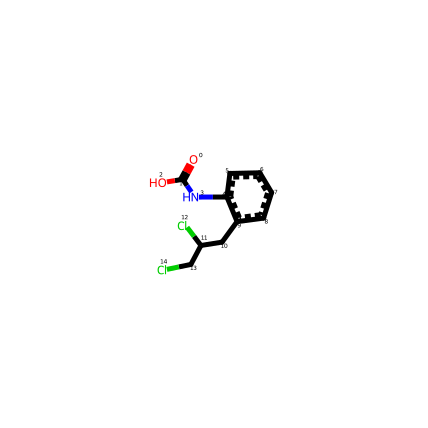 O=C(O)Nc1ccccc1CC(Cl)CCl